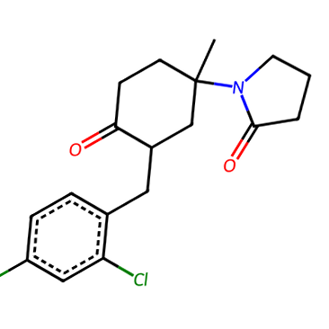 CC1(N2CCCC2=O)CCC(=O)C(Cc2ccc(Cl)cc2Cl)C1